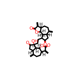 C=C1C(=O)O[C@@H]2[C@H]3C(CC[C@@]4(O)C(=O)C[C@H]5C(=C)CC[C@H]6C(=C)C(=O)O[C@@H]6[C@H]54)C(=O)C[C@H]3C(=C)CC[C@@H]12